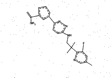 C=C(N)c1cccc(-c2ccc(NCC(C)(C)c3ncc(C)cc3F)nn2)c1